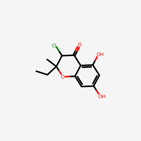 CCC1(C)Oc2cc(O)cc(O)c2C(=O)C1Cl